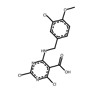 COc1ccc(CNc2nc(Cl)nc(Cl)c2C(=O)O)cc1Cl